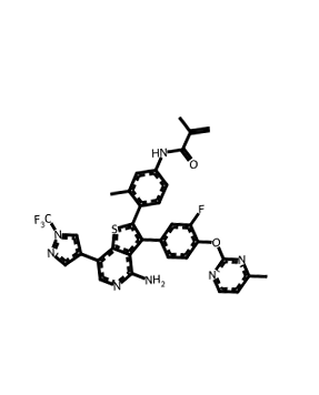 C=C(C)C(=O)Nc1ccc(-c2sc3c(-c4cnn(C(F)(F)F)c4)cnc(N)c3c2-c2ccc(Oc3nccc(C)n3)c(F)c2)c(C)c1